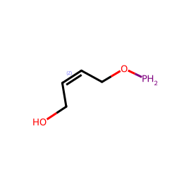 OC/C=C\COP